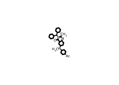 CC(=O)c1ccc(N(C)c2ccc3nc(C)n(C(c4ccccc4)c4ccccc4)c(=O)c3c2)cc1